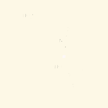 O=C(O)CCCC#CCN1C(=O)C[C@@H]1/C=C/C(O)CSc1sc2ccccc2c1Cl